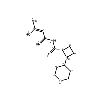 CC(C)(C)/C(O)=C/C(=N)NC(=O)[C@@H]1CCN1C1CCOCC1